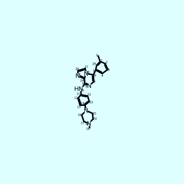 Cc1cccc(-c2cnc(Nc3ccc(N4CCN(C)CC4)cc3)c3nccn23)c1